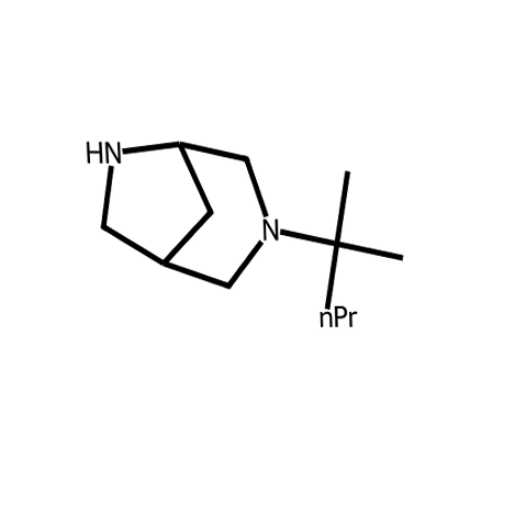 CCCC(C)(C)N1CC2CNC(C2)C1